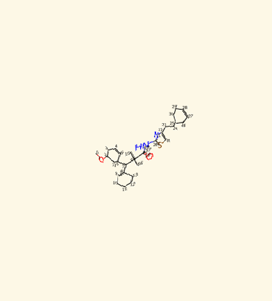 COC1CC=CC(C(C2=CCCCC2)C(C)(C)C(=O)Nc2nc(CCC3CC=CCC3)cs2)C1